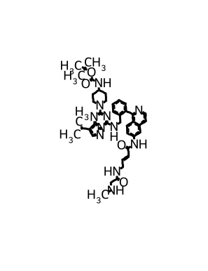 CNCC(=O)NC/C=C/C(=O)Nc1ccc2c(-c3ccccc3CNc3nc(N4CCC(NC(=O)OC(C)(C)C)CC4)nc4c(C(C)C)cnn34)nccc2c1